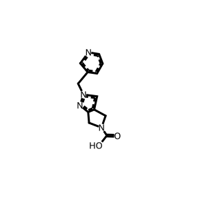 O=C(O)N1Cc2cn(Cc3cccnc3)nc2C1